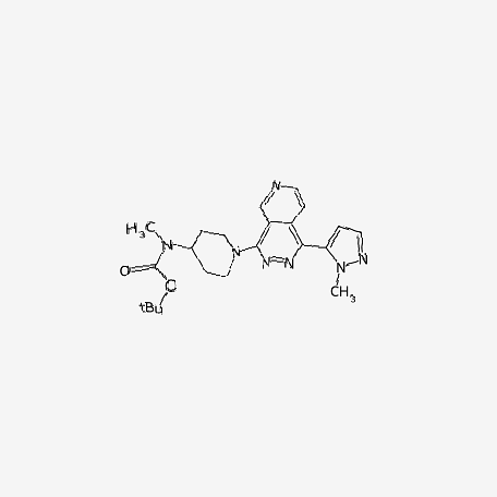 CN(C(=O)OC(C)(C)C)C1CCN(c2nnc(-c3ccnn3C)c3ccncc23)CC1